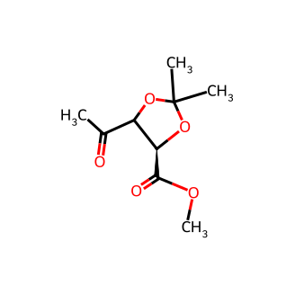 COC(=O)[C@@H]1OC(C)(C)OC1C(C)=O